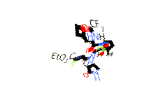 CCOC(=O)/C(F)=C/[C@@H](C[C@@H]1CCNC1=O)NC(=O)[C@@H]1[C@@H]2CC[C@@H](CC2(F)F)N1C(=O)[C@@H](CC1CCC1)NC(=O)C(F)(F)F